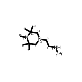 CC(C)NCCN1CC(C)(C)N(C)C(C)(C)C1